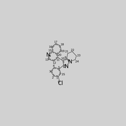 Clc1cccc(-c2nn3c(c2-c2ccnc4ccccc24)CCCC3)c1